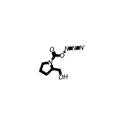 [N-]=[N+]=NOC(=O)N1CCCC1CO